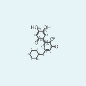 O=C1C=C(CC2CCCCC2)O/C(=C2/C=C(O)C(O)=CC2=O)C1=O